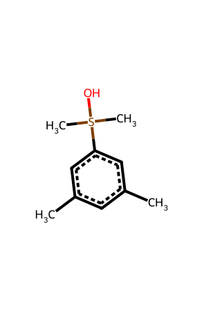 Cc1cc(C)cc(S(C)(C)O)c1